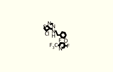 Fc1cnc(C(F)(F)F)c(F)c1Oc1cccc(CCNc2ncnc3scc(Cl)c23)c1